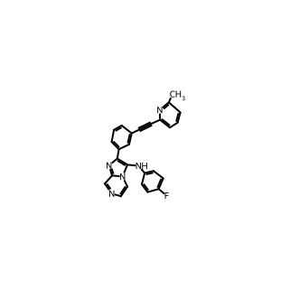 Cc1cccc(C#Cc2cccc(-c3nc4cnccn4c3Nc3ccc(F)cc3)c2)n1